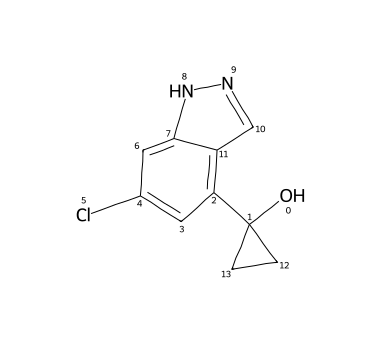 OC1(c2cc(Cl)cc3[nH]ncc23)CC1